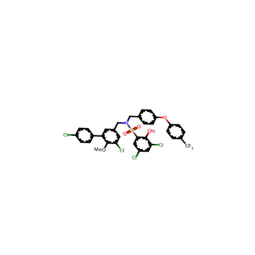 COc1c(Cl)cc(CN(Cc2ccc(Oc3ccc(C(F)(F)F)cc3)cc2)S(=O)(=O)c2cc(Cl)cc(Cl)c2O)cc1-c1ccc(Cl)cc1